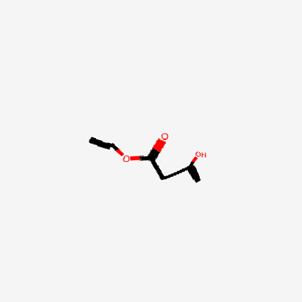 C=COC(=O)CC(=C)O